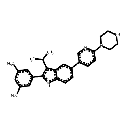 Cc1cc(-c2[nH]c3ccc(-c4ccc(N5CCNCC5)nc4)cc3c2C(C)C)cc(C)n1